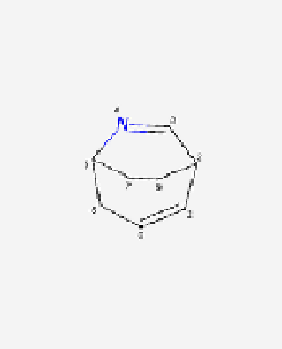 C1=CC2C=NC(C1)CC2